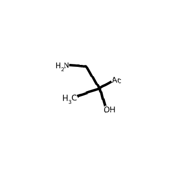 CC(=O)C(C)(O)CN